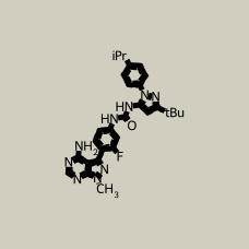 CC(C)c1ccc(-n2nc(C(C)(C)C)cc2NC(=O)Nc2ccc(-c3nn(C)c4ncnc(N)c34)c(F)c2)cc1